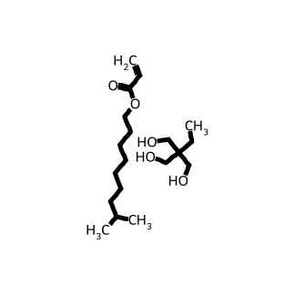 C=CC(=O)OCCCCCCCC(C)C.CCC(CO)(CO)CO